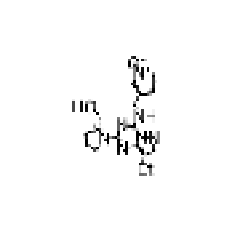 CCc1cnn2c(NCc3ccc[n+]([O-])c3)nc(N3CCC[C@@H]3CO)nc12